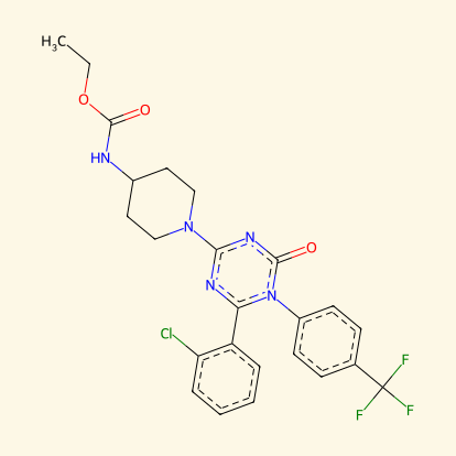 CCOC(=O)NC1CCN(c2nc(-c3ccccc3Cl)n(-c3ccc(C(F)(F)F)cc3)c(=O)n2)CC1